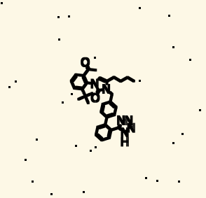 CCCCc1cn(-c2c(C(C)=O)cccc2C(C)(C)C)c(=O)n1Cc1ccc(-c2ccccc2-c2nnn[nH]2)cc1